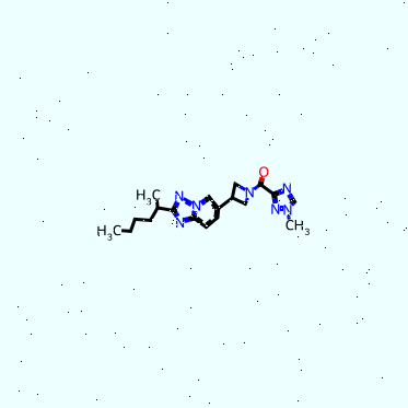 CCCCC(C)c1nc2ccc(C3CN(C(=O)c4ncn(C)n4)C3)cn2n1